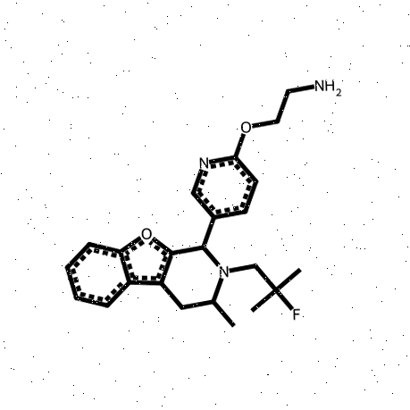 CC1Cc2c(oc3ccccc23)C(c2ccc(OCCN)nc2)N1CC(C)(C)F